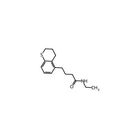 CCNC(=O)CCCc1cccc2c1CCCS2